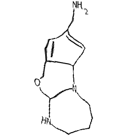 NC1=CC2C(=C1)OC1NCCCN12